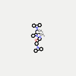 C=Cc1c(/C=C(\C)n2c3ccccc3c3ccccc32)c2ccccc2n1-c1nccc2c1oc1ccc(-n3c4ccccc4c4ccccc43)cc12